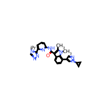 Cc1c(C(=O)Nc2cccc(-c3nncn3C(C)C)n2)c2cccc(-c3cnn(C4CC4)c3)c2n1C